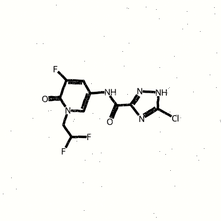 O=C(Nc1cc(F)c(=O)n(CC(F)F)c1)c1n[nH]c(Cl)n1